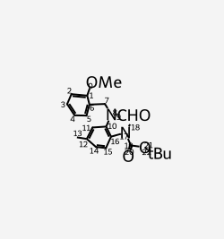 COc1ccccc1CN(C=O)c1cc(C)ccc1N(C)C(=O)OC(C)(C)C